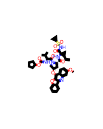 C=CC1CC1(NC(=O)[C@@H]1C[C@@H](Oc2c3ccc(OC)cc3nc3c2oc2ccccc23)CN1C(=O)[C@@H](NC(=O)OC1CCCC1)C(C)C)C(=O)NS(=O)(=O)C1CC1